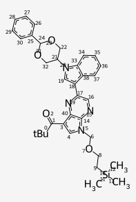 CC(C)(C)C(=O)c1cn(COCC[Si](C)(C)C)c2ncc(-c3cn(C4COC(c5ccccc5)OC4)c4ccccc34)nc12